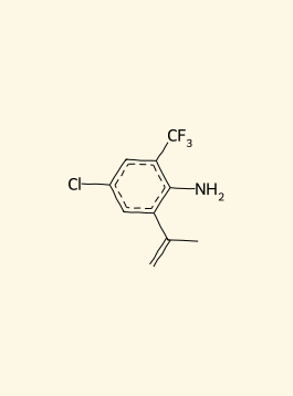 C=C(C)c1cc(Cl)cc(C(F)(F)F)c1N